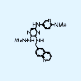 CNNc1ncc(Nc2ccc(NC)nc2)nc1NCc1ccc2ncccc2c1